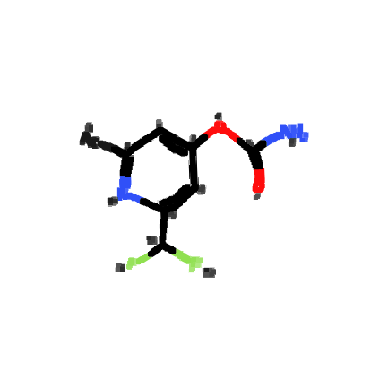 CC(=O)c1cc(OC(N)=O)cc(C(F)F)n1